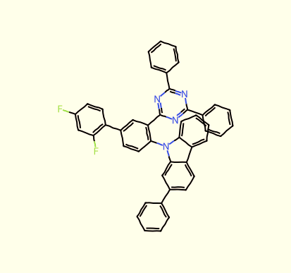 Fc1ccc(-c2ccc(-n3c4ccccc4c4ccc(-c5ccccc5)cc43)c(-c3nc(-c4ccccc4)nc(-c4ccccc4)n3)c2)c(F)c1